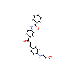 CN(CCO)c1ccc(/C=C/C(=O)c2ccc(NC(=O)C3CCCCC3)cc2)cc1